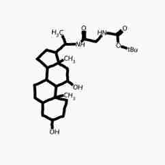 CC(NC(=O)CNC(=O)OC(C)(C)C)C1CCC2C3CCC4CC(O)CCC4(C)C3C(O)CC12C